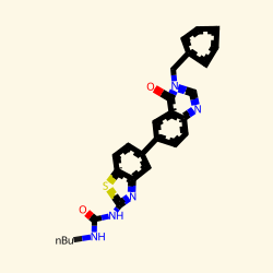 CCCCNC(=O)Nc1nc2cc(-c3ccc4ncn(Cc5ccccc5)c(=O)c4c3)ccc2s1